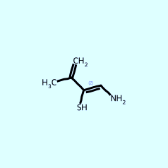 C=C(C)/C(S)=C/N